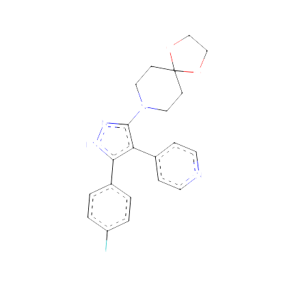 Fc1ccc(-c2[nH]nc(N3CCC4(CC3)OCCO4)c2-c2ccncc2)cc1